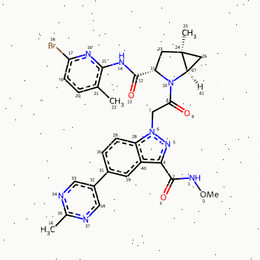 CONC(=O)c1nn(CC(=O)N2[C@H](C(=O)Nc3nc(Br)ccc3C)C[C@@]3(C)C[C@@H]23)c2ccc(-c3cnc(C)nc3)cc12